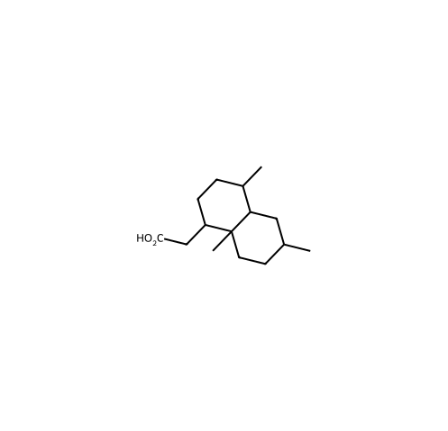 CC1CCC2(C)C(CC(=O)O)CCC(C)C2C1